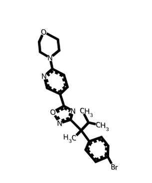 CC(C)C(C)(c1ccc(Br)cc1)c1noc(-c2ccc(N3CCOCC3)nc2)n1